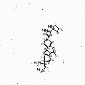 C[C@H]1CN[C@H](c2nc(-c3ccc4c(c3)O[C@@H](C)n3c-4cc4cc(/C(N)=C/N)ccc43)c[nH]2)C1